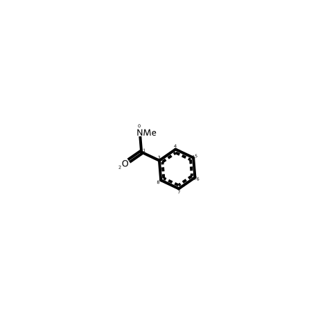 CNC(=O)c1c[c][c]cc1